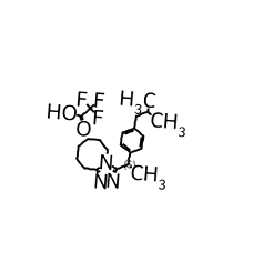 CC(C)Cc1ccc([C@H](C)c2nnc3n2CCCCCC3)cc1.O=C(O)C(F)(F)F